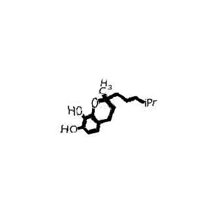 CC(C)CCCC1(C)CCc2ccc(O)c(O)c2O1